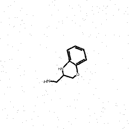 [NH]CC1COc2ccccc2N1